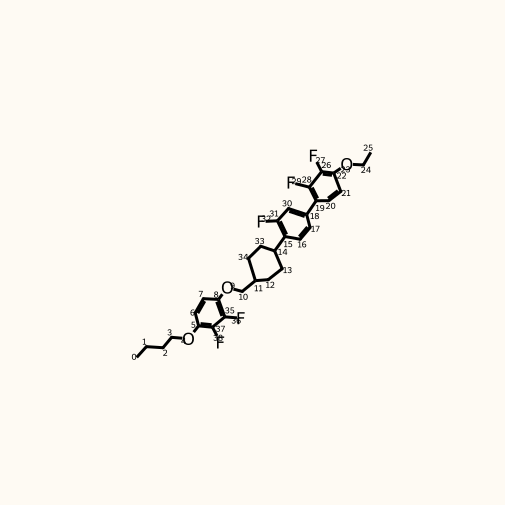 CCCCOc1ccc(OCC2CCC(c3ccc(-c4ccc(OCC)c(F)c4F)cc3F)CC2)c(F)c1F